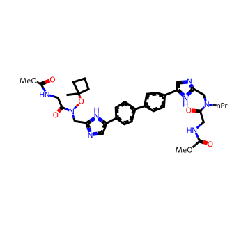 CCCN(Cc1ncc(-c2ccc(-c3ccc(-c4cnc(CN(OC5(C)CCC5)C(=O)CNC(=O)OC)[nH]4)cc3)cc2)[nH]1)C(=O)CNC(=O)OC